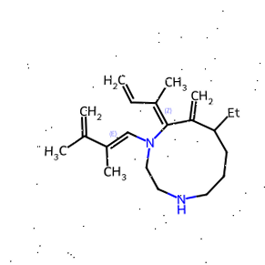 C=C/C(C)=C1/C(=C)C(CC)CCCNCCN1/C=C(\C)C(=C)C